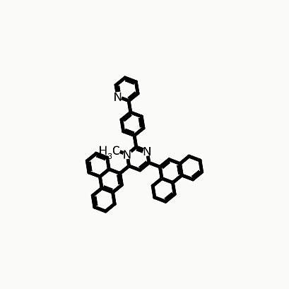 CN1C(c2ccc(-c3ccccn3)cc2)=NC(C2=CC3=C(C=CCC3)C3C=CCCC23)=CC1C1=CC2=C(C=CCC2)C2C=CC=CC12